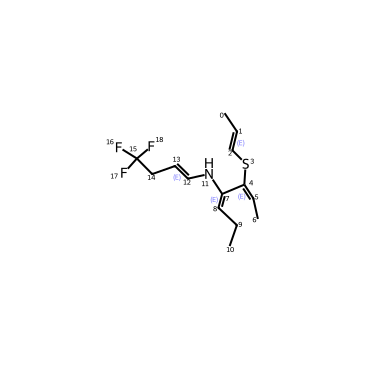 C/C=C/SC(=C/C)/C(=C\CC)N/C=C/CC(F)(F)F